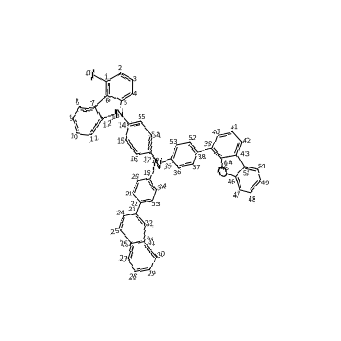 Ic1cccc2c1c1ccccc1n2-c1ccc(N(c2ccc(-c3ccc4ccccc4c3)cc2)c2ccc(-c3cccc4c3oc3ccccc34)cc2)cc1